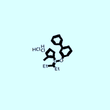 CC[C](CC)=[Ti]([O]c1cccc(-c2ccccc2)c1)[C]1=C(C)C=CC1.Cl.Cl